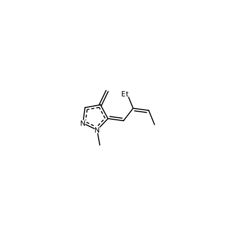 C=c1cnn(C)/c1=C/C(=C\C)CC